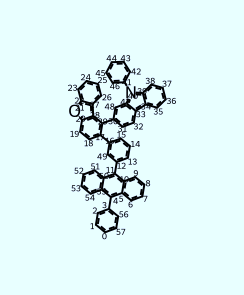 c1ccc(-c2c3ccccc3c(-c3cccc(-c4ccc5oc6ccccc6c5c4-c4ccc5c6ccccc6n(-c6ccccc6)c5c4)c3)c3ccccc23)cc1